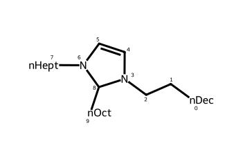 CCCCCCCCCCCCN1C=CN(CCCCCCC)C1CCCCCCCC